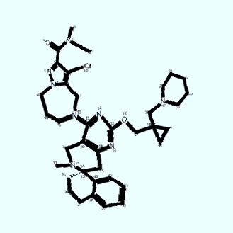 CN(C)C(=O)c1nn2c(c1Cl)CN(c1nc(OCC3(CN4CCCCC4)CC3)nc3c1CN(C)[C@@]1(CCCc4ccccc41)C3)CCC2